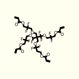 C=CC(=O)OCCC(F)(F)OCC(COCC(F)(F)COC(=O)C=C)(C(F)OCC(F)(F)COC(=O)C=C)C(F)(F)OCC(F)(F)COC(=O)C=C